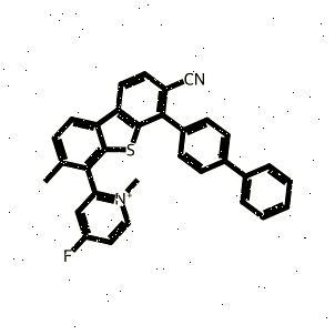 Cc1ccc2c(sc3c(-c4ccc(-c5ccccc5)cc4)c(C#N)ccc32)c1-c1cc(F)cc[n+]1C